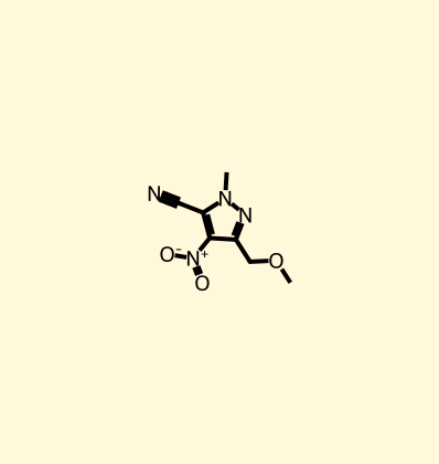 COCc1nn(C)c(C#N)c1[N+](=O)[O-]